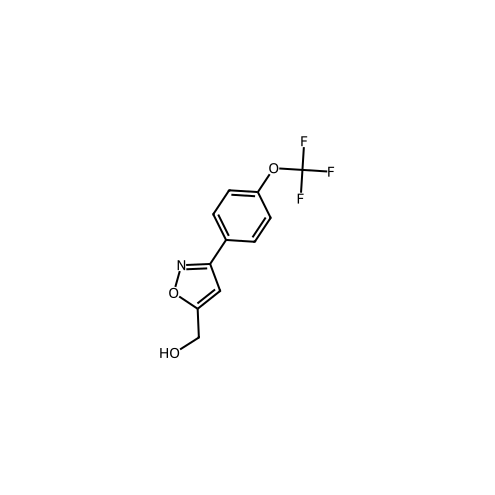 OCc1cc(-c2ccc(OC(F)(F)F)cc2)no1